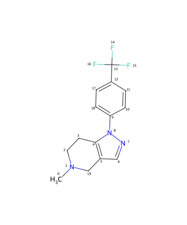 CN1CCc2c(cnn2-c2ccc(C(F)(F)F)cc2)C1